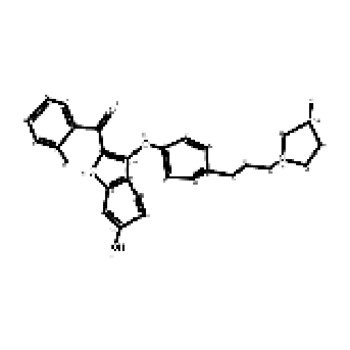 Cc1ccccc1C(=O)c1sc2cc(O)ccc2c1Oc1ccc(CCCN2CC[C@H](C)C2)cc1